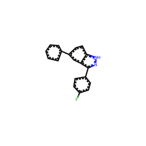 Fc1ccc(-c2n[nH]c3ccc(-c4ccccc4)cc23)cc1